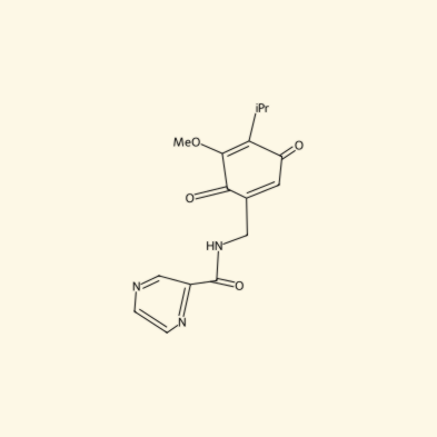 COC1=C(C(C)C)C(=O)C=C(CNC(=O)c2cnccn2)C1=O